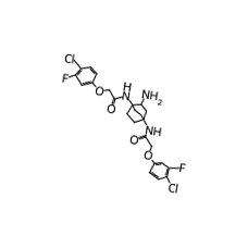 NC1CC2(NC(=O)COc3ccc(Cl)c(F)c3)CCC1(NC(=O)COc1ccc(Cl)c(F)c1)CC2